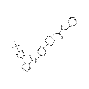 CC(C)(C)c1ccc(-c2ccccc2C(=O)Nc2ccc(N3CCC(CC(=O)NCc4ccccc4)CC3)cc2)cc1